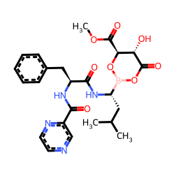 COC(=O)[C@@H]1OB([C@H](CC(C)C)NC(=O)[C@H](Cc2ccccc2)NC(=O)c2cnccn2)OC(=O)[C@H]1O